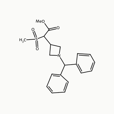 COC(=O)C(C1CN(C(c2ccccc2)c2ccccc2)C1)S(C)(=O)=O